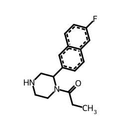 CCC(=O)N1CCNCC1c1ccc2cc(F)ccc2c1